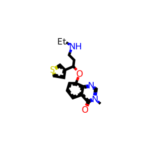 CCNCCC(Oc1cccc2c(=O)n(C)cnc12)c1ccsc1